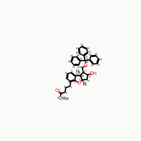 COC(=O)CCCc1cccc2c1O[C@@H]1CC(O)C(COC(c3ccccc3)(c3ccccc3)c3ccccc3)[C@H]21